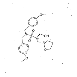 COc1ccc(CN(Cc2ccc(OC)cc2)S(=O)(=O)[C@@H](CO)C[C@@H]2CCCO2)cc1